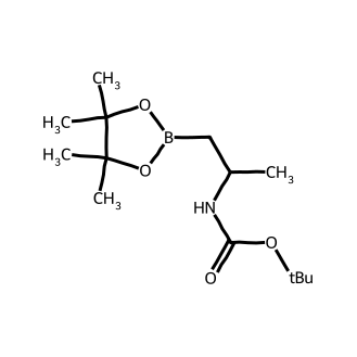 CC(CB1OC(C)(C)C(C)(C)O1)NC(=O)OC(C)(C)C